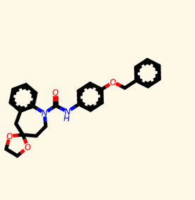 O=C(Nc1ccc(OCc2ccccc2)cc1)N1CCC2(Cc3ccccc31)OCCO2